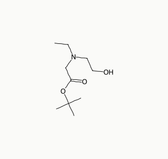 CCN(CCO)CC(=O)OC(C)(C)C